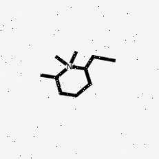 CCC1CCCC(C)[N+]1(C)C